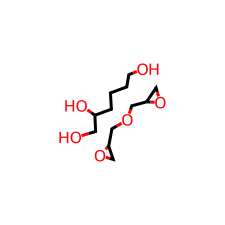 C(OCC1CO1)C1CO1.OCCCCC(O)CO